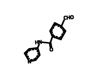 O=Cc1ccc(C(=O)Nc2ccncc2)cc1